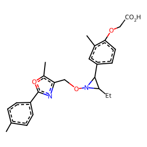 CCC1C(c2ccc(OCC(=O)O)c(C)c2)N1OCc1nc(-c2ccc(C)cc2)oc1C